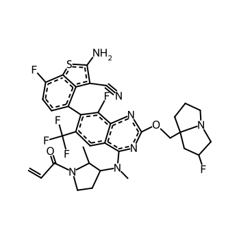 C=CC(=O)N1CCC(N(C)c2nc(OCC34CCCN3CC(F)C4)nc3c(F)c(-c4ccc(F)c5sc(N)c(C#N)c45)c(C(F)(F)F)cc23)C1C